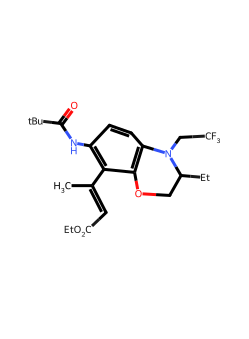 CCOC(=O)C=C(C)c1c(NC(=O)C(C)(C)C)ccc2c1OCC(CC)N2CC(F)(F)F